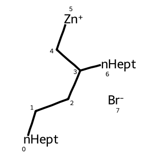 CCCCCCCCCC([CH2][Zn+])CCCCCCC.[Br-]